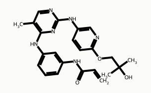 C=CC(=O)Nc1cccc(Nc2nc(Nc3ccc(OCC(C)(C)O)nc3)ncc2C)c1